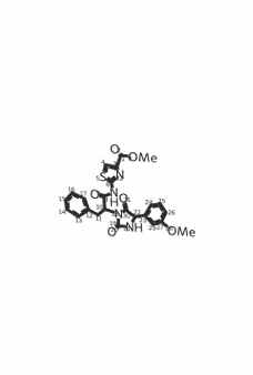 COC(=O)c1csc(NC(=O)C(Cc2ccccc2)N2C(=O)NC(c3cccc(OC)c3)C2=O)n1